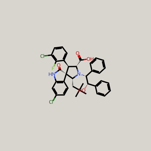 CC(C)(C)C[C@H]1N([C@H](c2ccccc2)[C@@H](O)c2ccccc2)[C@@H](C(=O)O)[C@H](c2cccc(Cl)c2F)[C@@]12C(=O)Nc1cc(Cl)ccc12